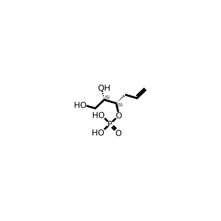 C=CC[C@H](OP(=O)(O)O)[C@@H](O)CO